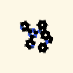 c1ccc(-n2ccc3cc4c5ccccc5n(-c5nc(-c6cccnc6)nc(-c6cccnc6)n5)c4cc32)cc1